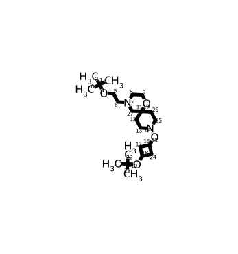 CC(C)(C)OCCN1CCOC2(CCN(OC3CC(OC(C)(C)C)C3)CC2)C1